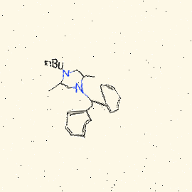 CCCCN1CC(C)N(C(c2ccccc2)c2ccccc2)CC1C